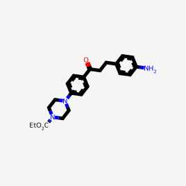 CCOC(=O)N1CCN(c2ccc(C(=O)CCc3ccc(N)cc3)cc2)CC1